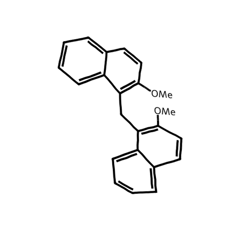 COc1ccc2ccccc2c1Cc1c(OC)ccc2ccccc12